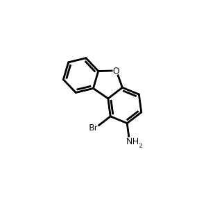 Nc1ccc2oc3ccccc3c2c1Br